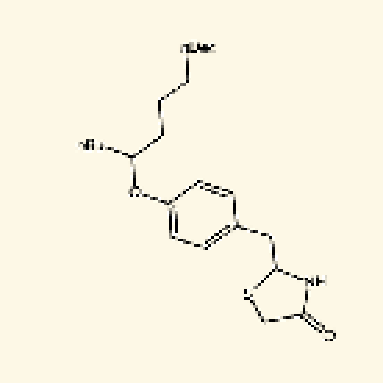 CCCCCCCCCCCCCC(CCCC)Oc1ccc(CC2NC(=O)CS2)cc1